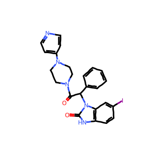 O=C(C(c1ccccc1)n1c(=O)[nH]c2ccc(I)cc21)N1CCN(c2ccncc2)CC1